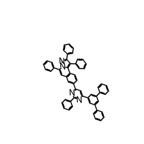 c1ccc(-c2cc(-c3ccccc3)cc(-c3cc(-c4ccc5c(c4)cc(-c4ccccc4)n4nc(-c6ccccc6)c(-c6ccccc6)c54)nc(-c4ccccc4)n3)c2)cc1